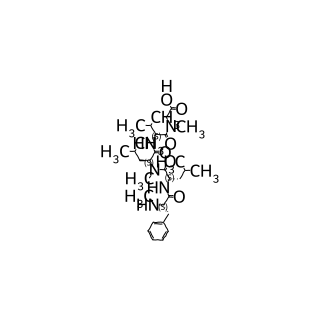 CN[C@@H](Cc1ccccc1)C(=O)N[C@@H](CC(C)C)C(=O)N(C)[C@@H](CC(C)C)C(=O)N[C@H](C(=O)N(C)CC(=O)O)C(C)C